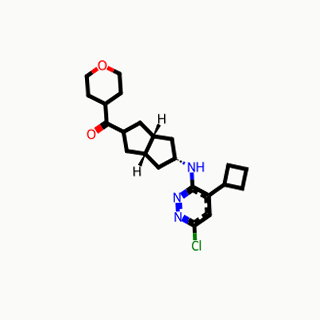 O=C(C1CCOCC1)C1C[C@@H]2C[C@H](Nc3nnc(Cl)cc3C3CCC3)C[C@@H]2C1